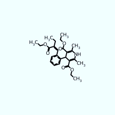 CCOC(=O)C(=Cc1ccccc1C1C(C(=O)OCC)=C(C)NC(C)=C1C(=O)OCC)CC